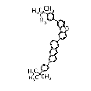 CC(C)(C)c1ccc(-c2ccc3cc4cc(-c5ccc6oc7ccc(-c8ccc(C(C)(C)C)cc8)cc7c6c5)ccc4cc3c2)cc1